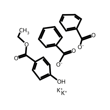 CCOC(=O)c1ccc(O)cc1.O=C([O-])c1ccccc1.O=C([O-])c1ccccc1.[K+].[K+]